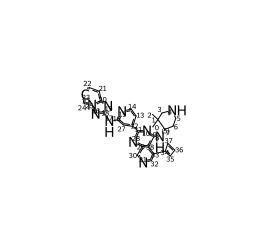 CC1(C)CNCC[C@@H]1Nc1nc(-c2ccnc(Nc3nc4ccccn4n3)c2)nc2cncc(C3=CC=C3)c12